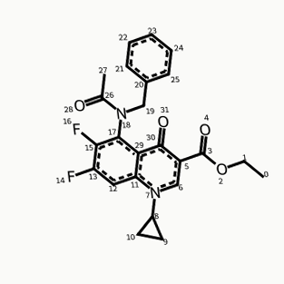 CCOC(=O)c1cn(C2CC2)c2cc(F)c(F)c(N(Cc3ccccc3)C(C)=O)c2c1=O